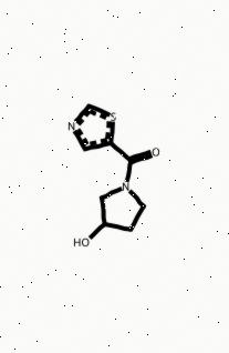 O=C(c1cncs1)N1CCC(O)C1